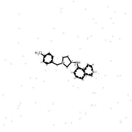 Cc1ccc(CN2CC[C@@H](Nc3cccc4cnccc34)C2)cc1